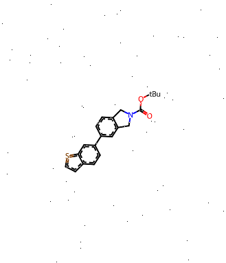 CC(C)(C)OC(=O)N1Cc2ccc(-c3ccc4ccsc4c3)cc2C1